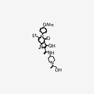 C=C(NC1CCN(C(=C)CO)CC1)c1c(O)c2c(=O)n(-c3ccc(OC)cc3)c(CC)cc2n1C